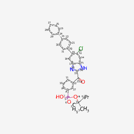 CC(C)C(C)(C)OP(=O)(O)c1cccc(C(=O)c2nc3cc(-c4ccc(-c5ccccc5)cc4)c(Cl)cc3[nH]2)c1